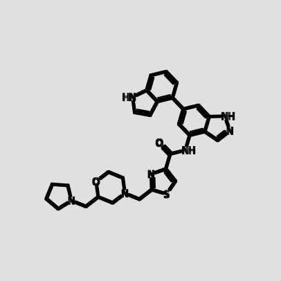 O=C(Nc1cc(-c2cccc3[nH]ccc23)cc2[nH]ncc12)c1csc(CN2CCOC(CN3CCCC3)C2)n1